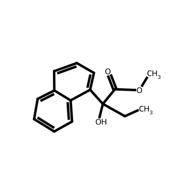 CCC(O)(C(=O)OC)c1cccc2ccccc12